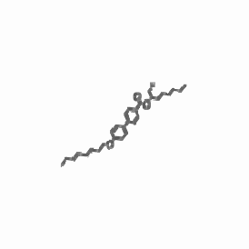 CCCCCCCCOc1ccc(-c2ccc(C(=O)OC(CF)CCCCCC)cc2)cc1